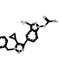 CC(C)(C)C(=O)On1nc(N)c2cc(-c3nnn(Cc4ccccc4)c3C3CC3)ccc21